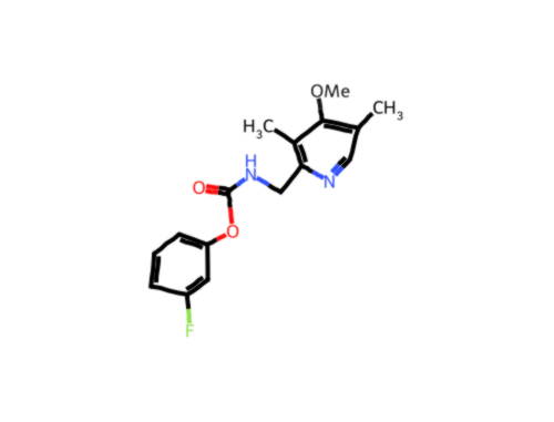 COc1c(C)cnc(CNC(=O)Oc2cccc(F)c2)c1C